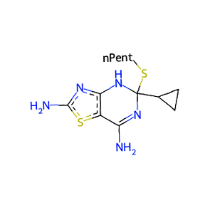 CCCCCSC1(C2CC2)N=C(N)c2sc(N)nc2N1